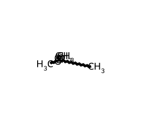 CC=CCO[Si](CCCCCCCCCCCCCCCC)(OC)OC